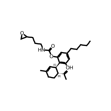 C=C(C)[C@@H]1CCC(C)=C[C@H]1c1c(O)cc(CCCCC)cc1OC(=O)NCCCC1CO1